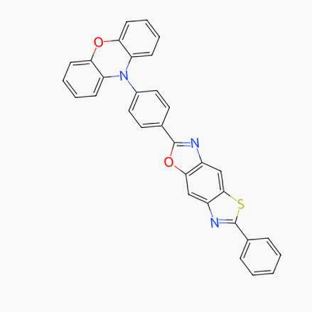 c1ccc(-c2nc3cc4oc(-c5ccc(N6c7ccccc7Oc7ccccc76)cc5)nc4cc3s2)cc1